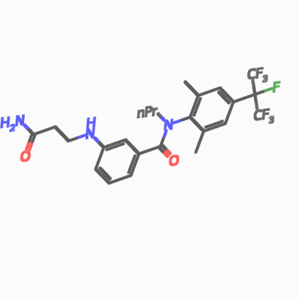 CCCN(C(=O)c1cccc(NCCC(N)=O)c1)c1c(C)cc(C(F)(C(F)(F)F)C(F)(F)F)cc1C